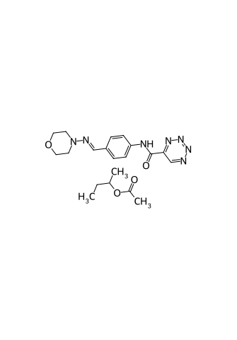 CCC(C)OC(C)=O.O=C(Nc1ccc(C=NN2CCOCC2)cc1)c1cnnnn1